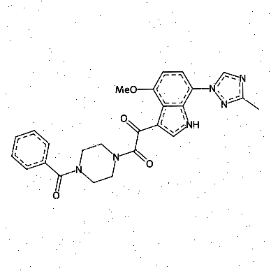 COc1ccc(-n2cnc(C)n2)c2[nH]cc(C(=O)C(=O)N3CCN(C(=O)c4ccccc4)CC3)c12